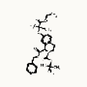 CCOC(=O)C(C)(C)Oc1ccc2c(c1)C(C(=O)OCc1ccccc1)N(C(=O)OC(C)(C)C)CC2